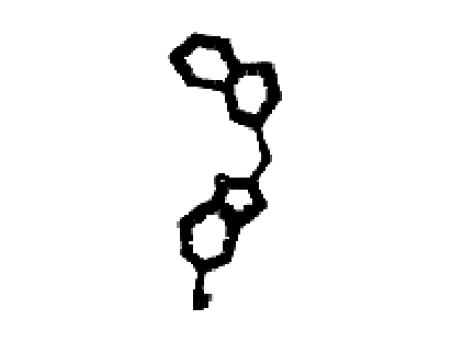 Brc1ccc2oc(Cc3ccc4ccccc4c3)cc2c1